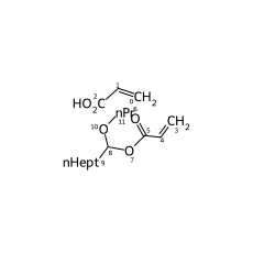 C=CC(=O)O.C=CC(=O)OC(CCCCCCC)OCCC